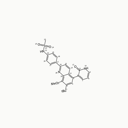 COc1c(C(C)(C)C)cc(-c2ccc[nH]c2=O)c2ccc(-c3ccc(NS(C)(=O)=O)cc3)nc12